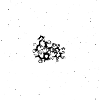 CC[C@H](C)[C@@H]([C@H](C=O)CC(=O)N1CCC[C@H]1[C@H](OC)[C@@H](C)C(=O)N[C@H](C)[C@@H](O)c1ccccc1)N(C)C(=O)[C@@H](NC(=O)C(C(C)C)N(C)C(=O)OC)C(C)C